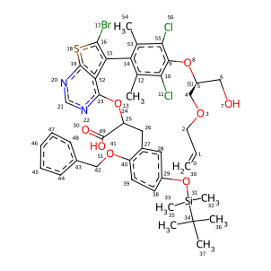 C=CCOC[C@H](CO)Oc1c(Cl)c(C)c(-c2c(Br)sc3ncnc(OC(Cc4cc(O[Si](C)(C)C(C)(C)C)ccc4OCc4ccccc4)C(=O)O)c23)c(C)c1Cl